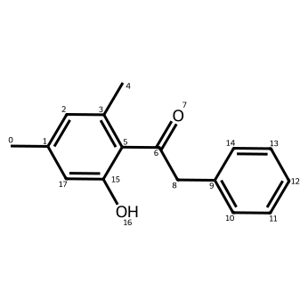 Cc1cc(C)c(C(=O)Cc2ccccc2)c(O)c1